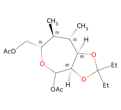 CCC1(CC)O[C@@H]2[C@@H](C)[C@H](C)[C@@H](COC(C)=O)OC(OC(C)=O)[C@@H]2O1